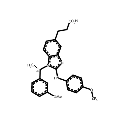 COc1cccc([C@H](C)n2c(Nc3ccc(OC(F)(F)F)cc3)nc3cc(CCC(=O)O)ccc32)c1